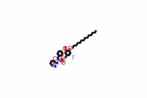 CCCCCCCCCCCCCCOc1ccc(COC(=O)N(Cc2cccc[n+]2C)C(=O)c2ccccc2)cc1OC.[I-]